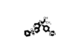 C[C@@H](O)c1nc2cnc3c(ccn3S(=O)(=O)c3ccccc3)c2n1C1CCC(n2cncn2)CC1